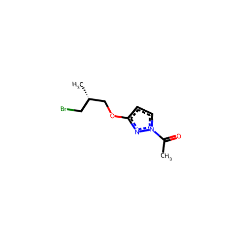 CC(=O)n1ccc(OC[C@@H](C)CBr)n1